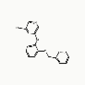 CCc1cncc(Nc2ccccc2OCc2ccccc2)c1